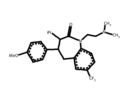 COc1ccc(C2Cc3cc(C(F)(F)F)ccc3N(CCN(C)C)C(=O)C2C(C)C)cc1